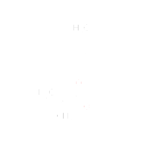 C=C(C)C(=O)OCC1CCC(C)C1